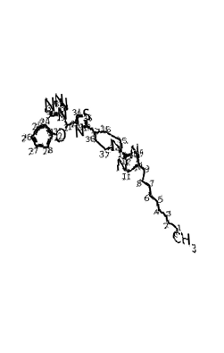 CCCCCCCCCCc1cnc(N2CCC(c3nc(C(Oc4ccccc4)n4cnnn4)cs3)CC2)nc1